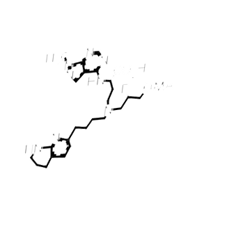 COC[C@@H](F)CN(CCCCc1ccc2c(n1)NCCC2)CC[C@H](Nc1ncnc2c1cnn2C)C(=O)O